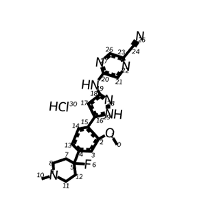 COc1cc(C2(F)CCN(C)CC2)ccc1-c1cc(Nc2cnc(C#N)cn2)n[nH]1.Cl